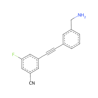 N#Cc1cc(F)cc(C#Cc2cccc(CN)c2)c1